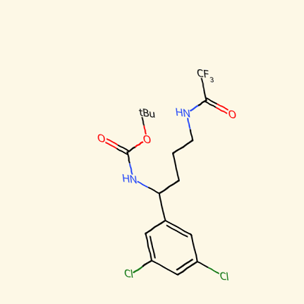 CC(C)(C)OC(=O)NC(CCCNC(=O)C(F)(F)F)c1cc(Cl)cc(Cl)c1